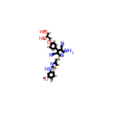 COc1cc(Nc2nc(CSc3nc(N)c(C#N)c(-c4ccc(OC[C@H](O)CO)cc4)c3C#N)cs2)ccc1F